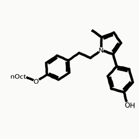 CCCCCCCCOc1ccc(CCn2c(C)ccc2-c2ccc(O)cc2)cc1